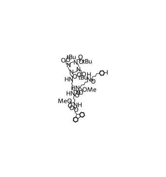 COC(=O)C(CCC(=O)NC(CCCCNC(=O)CN1CCN(CC(=O)OC(C)(C)C)CCN(CC(=O)OC(C)(C)C)CCN(CC(=O)OC(C)(C)C)CC1)C(=O)NC(CCCCNC(=O)CCCc1ccc(I)cc1)C(=O)OC)NC(=O)OCC1c2ccccc2-c2ccccc21